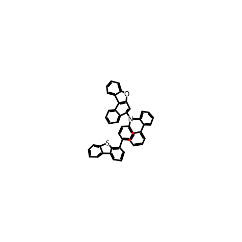 c1ccc(-c2ccccc2N(c2ccc(-c3cccc4c3sc3ccccc34)cc2)c2cc3oc4ccccc4c3c3ccccc23)cc1